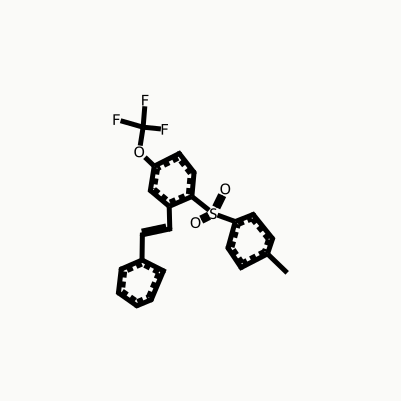 Cc1ccc(S(=O)(=O)c2ccc(OC(F)(F)F)cc2C=Cc2ccccc2)cc1